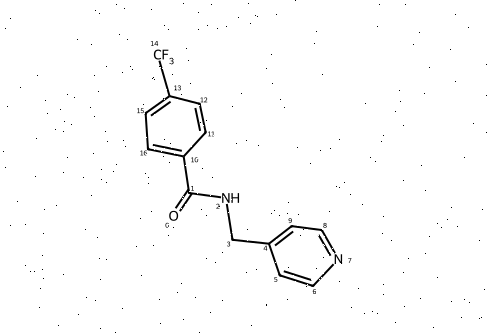 O=C(NCc1ccncc1)c1ccc(C(F)(F)F)cc1